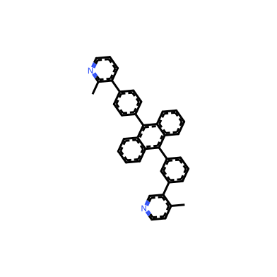 Cc1ccncc1-c1cccc(-c2c3ccccc3c(-c3ccc(-c4cccnc4C)cc3)c3ccccc23)c1